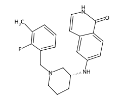 Cc1cccc(CN2CCC[C@@H](Nc3ccc4c(=O)[nH]ccc4c3)C2)c1F